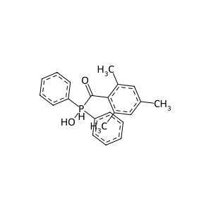 Cc1cc(C)c(C(=O)[PH](O)(c2ccccc2)c2ccccc2)c(C)c1